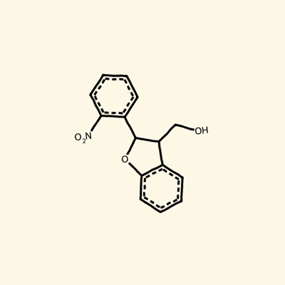 O=[N+]([O-])c1ccccc1C1Oc2ccccc2C1CO